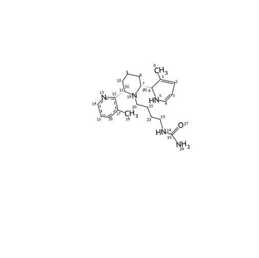 CC1=CC=CNC1[C@H]1CCC[C@@H](c2ncccc2C)N1CCCCNC(N)=O